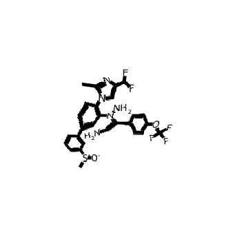 Cc1nc(C(F)F)cn1-c1ccc(-c2cccc([S+](C)[O-])c2)cc1N(N)/C(=C\N)c1ccc(OC(F)(F)F)cc1